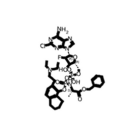 CCN(CC)CCc1ccc2c(c1OP(=O)(N[C@@H](C)C(=O)OCc1ccccc1)OP(=O)(O)OC[C@H]1O[C@@H](n3cnc4c(N)nc(Cl)nc43)C(F)C1O)CCCC2